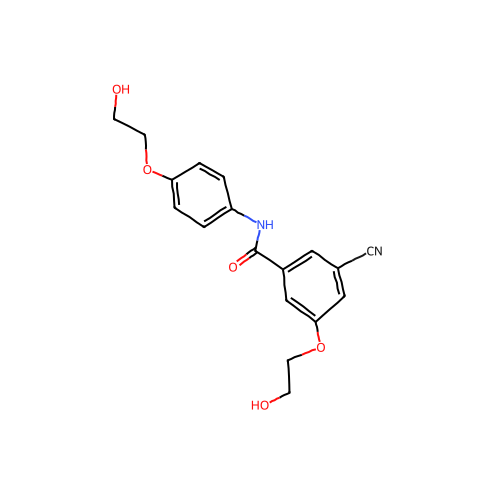 N#Cc1cc(OCCO)cc(C(=O)Nc2ccc(OCCO)cc2)c1